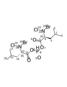 CC(C)C[C@@H](C(=O)O[PH](=O)OC(=O)[C@H](CC(C)C)N(Cl)Br)N(Cl)Br